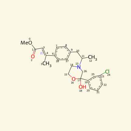 COC(=O)/C=C(\C)c1ccc(CC(C)N2CCOC(O)(c3cccc(Cl)c3)C2)cc1